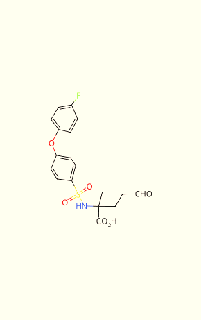 CC(CCC=O)(NS(=O)(=O)c1ccc(Oc2ccc(F)cc2)cc1)C(=O)O